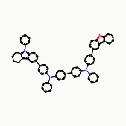 C1=Cc2c(c3cc(-c4ccc(N(c5ccccc5)c5ccc(-c6ccc(N(c7ccccc7)c7ccc(-c8ccc9oc%10ccccc%10c9c8)cc7)cc6)cc5)cc4)ccc3n2-c2ccccc2)CC1